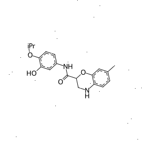 Cc1ccc2c(c1)OC(C(=O)Nc1ccc(OC(C)C)c(O)c1)CN2